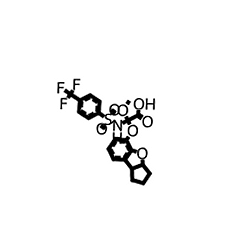 COC(NS(=O)(=O)c1ccc(C(F)(F)F)cc1)(Oc1cccc2c1OC1CCCC21)C(=O)O